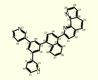 c1cncc(-c2cc(-c3cccnc3)cc(-c3ccc(-c4ccc5ccc6cccnc6c5n4)c4ccccc34)c2)c1